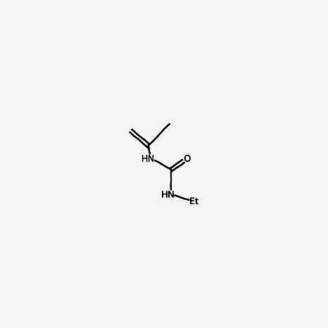 C=C(C)NC(=O)NCC